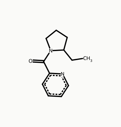 CCC1CCCN1C(=O)c1ccccn1